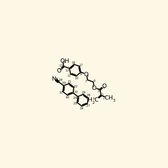 C=C(C)C(=O)OCCOc1ccc(C(=O)O)cc1.N#Cc1ccc(-c2ccccc2)cc1